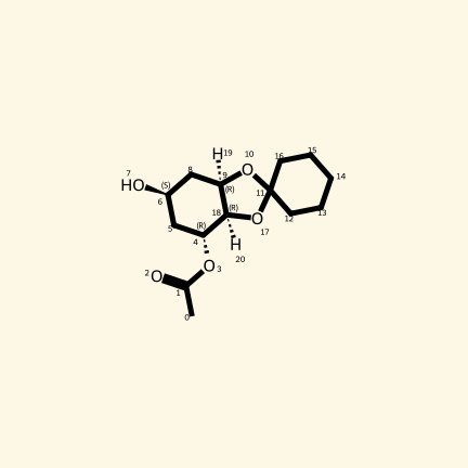 CC(=O)O[C@@H]1C[C@@H](O)C[C@H]2OC3(CCCCC3)O[C@@H]12